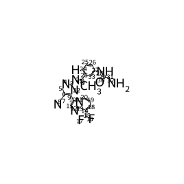 C[C@H](Nc1ncc(C#N)c(-c2cnc3c(C(F)F)cccn23)n1)c1cccc(NC(=O)CN)c1